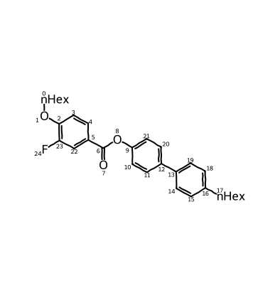 CCCCCCOc1ccc(C(=O)Oc2ccc(-c3ccc(CCCCCC)cc3)cc2)cc1F